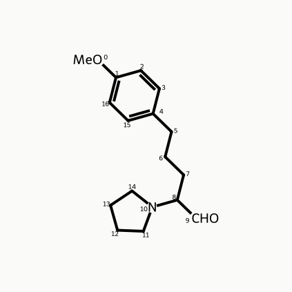 COc1ccc(CCCC(C=O)N2CCCC2)cc1